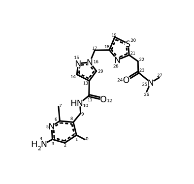 Cc1cc(N)nc(C)c1CNC(=O)c1cnn(Cc2csc(CC(=O)N(C)C)n2)c1